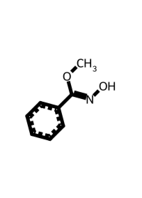 COC(=NO)c1ccccc1